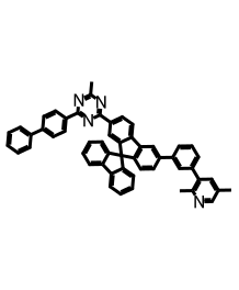 Cc1cnc(C)c(-c2cccc(-c3ccc4c(c3)-c3ccc(-c5nc(C)nc(-c6ccc(-c7ccccc7)cc6)n5)cc3C43c4ccccc4-c4ccccc43)c2)c1